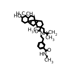 C=C(C)CCC1(C(=O)NCCc2cccc(C(=O)NCC)c2)CCC2C3(CC4C5C46CCC(O)C(C)(C)C6CCC523)C1C